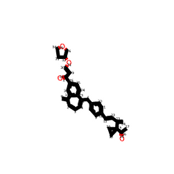 C=C1C=CC=C(Cc2ccc(/C=C/C(=C)C3(C(C)=O)CC3)cc2)c2ccc(C(=O)/C=C/OC3CCOC3)cc21